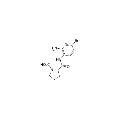 Nc1nc(Br)ccc1NC(=O)C1CCCN1C(=O)O